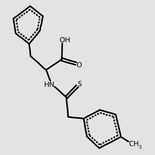 Cc1ccc(CC(=S)NC(Cc2ccccc2)C(=O)O)cc1